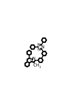 Cc1c(-c2cccc(-c3cccc(-c4nc(-c5ccccc5)nc(-c5ccccc5)n4)c3)c2)nn2c(-c3ccccc3)cc3ccccc3c12